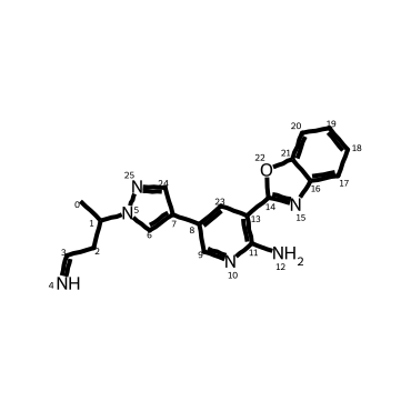 CC(CC=N)n1cc(-c2cnc(N)c(-c3nc4ccccc4o3)c2)cn1